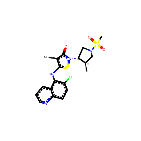 C[C@@H]1CN(S(C)(=O)=O)C[C@H]1n1sc(Nc2c(Cl)ccc3ncccc23)c(C#N)c1=O